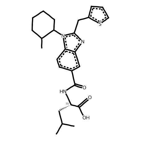 CC(C)C[C@H](NC(=O)c1ccc2c(c1)nc(Cc1cccs1)n2C1CCCCC1C)C(=O)O